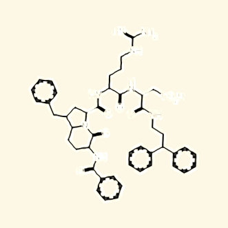 N=C(N)NCCCC(NC(=O)[C@@H]1CC(Cc2ccccc2)C2CCC(NC(=O)c3ccccc3)C(=O)N21)C(=O)N[C@@H](CC(=O)O)C(=O)NCCC(c1ccccc1)c1ccccc1